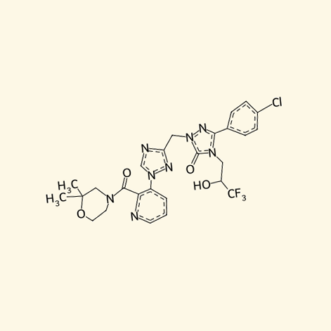 CC1(C)CN(C(=O)c2ncccc2-n2cnc(Cn3nc(-c4ccc(Cl)cc4)n(CC(O)C(F)(F)F)c3=O)n2)CCO1